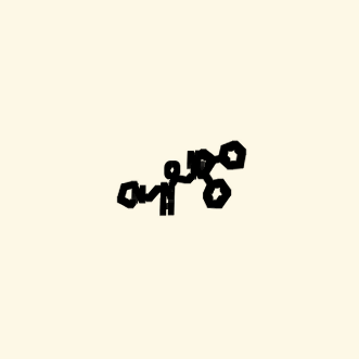 O=C(Cn1ncc(-c2ccccc2)c1-c1ccccc1)NCCN1CCCC1